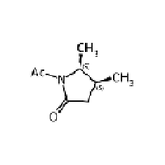 CC(=O)N1C(=O)C[C@H](C)[C@@H]1C